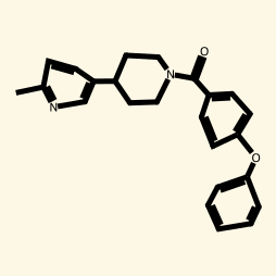 Cc1ccc(C2CCN(C(=O)c3ccc(Oc4ccccc4)cc3)CC2)cn1